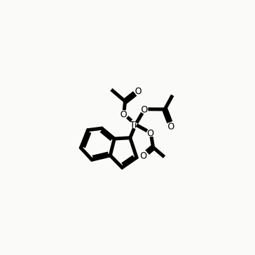 CC(=O)[O][Ti]([O]C(C)=O)([O]C(C)=O)[CH]1C=Cc2ccccc21